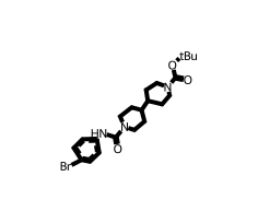 CC(C)(C)OC(=O)N1CCC(C2CCN(C(=O)Nc3ccc(Br)cc3)CC2)CC1